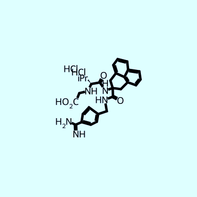 CC(C)[C@@H](NCC(=O)O)C(=O)NC1(C(=O)NCc2ccc(C(=N)N)cc2)Cc2cccc3cccc(c23)C1.Cl.Cl